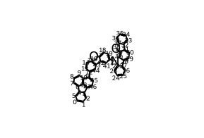 c1ccc2c(c1)-c1cccc3c(-c4ccc5oc6ccc(-n7c8ccccc8c8ccc9c%10ccccc%10oc9c87)cc6c5c4)ccc-2c13